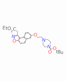 CCOC(=O)Cc1noc2ccc3cc(OCCN4CCN(C(=O)OC(C)(C)C)CC4)ccc3c12